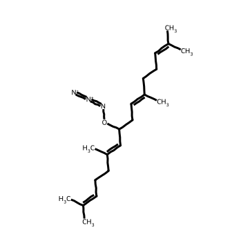 CC(C)=CCC/C(C)=C/CC(/C=C(\C)CCC=C(C)C)ON=[N+]=[N-]